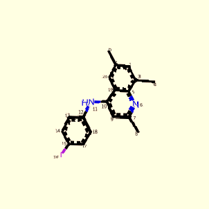 Cc1cc(C)c2nc(C)cc(Nc3ccc(I)cc3)c2c1